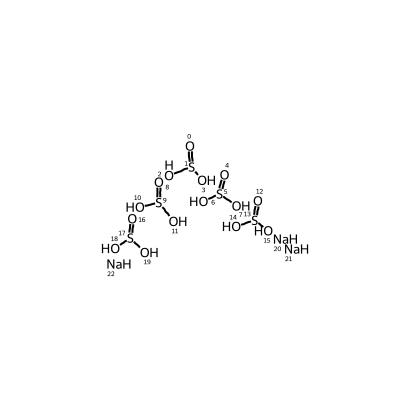 O=S(O)O.O=S(O)O.O=S(O)O.O=S(O)O.O=S(O)O.[NaH].[NaH].[NaH]